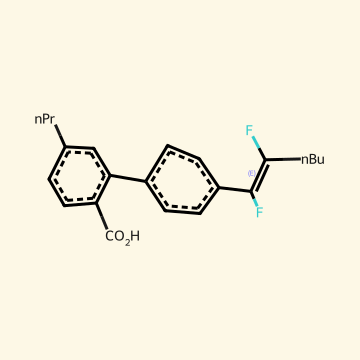 CCCC/C(F)=C(\F)c1ccc(-c2cc(CCC)ccc2C(=O)O)cc1